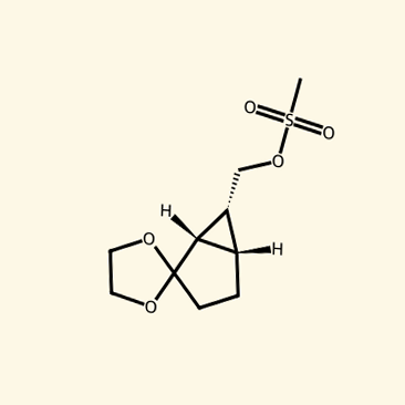 CS(=O)(=O)OC[C@@H]1[C@@H]2CCC3(OCCO3)[C@H]12